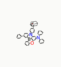 c1ccc(-c2ccc3c(c2)B2c4ccccc4Oc4cc(N(c5ccccc5)c5ccccc5)cc(c42)N3c2ccc(C34CC5CC(CC(C5)C3)C4)cc2)cc1